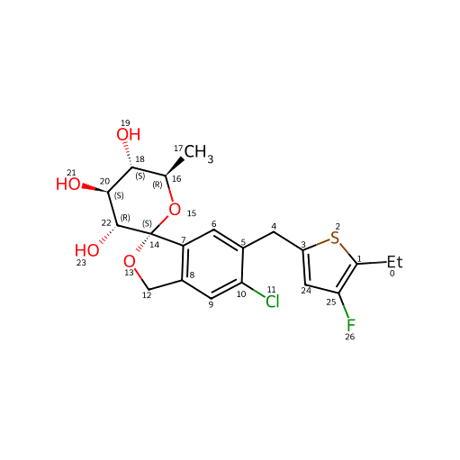 CCc1sc(Cc2cc3c(cc2Cl)CO[C@]32O[C@H](C)[C@@H](O)[C@H](O)[C@H]2O)cc1F